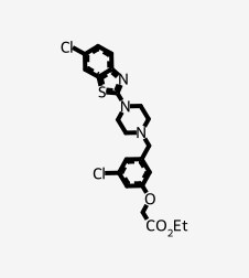 CCOC(=O)COc1cc(Cl)cc(CN2CCN(c3nc4ccc(Cl)cc4s3)CC2)c1